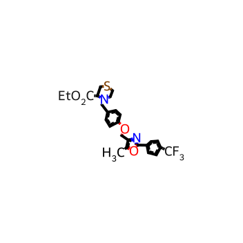 CCOC(=O)C1CSCCN1Cc1ccc(OCc2nc(-c3ccc(C(F)(F)F)cc3)oc2C)cc1